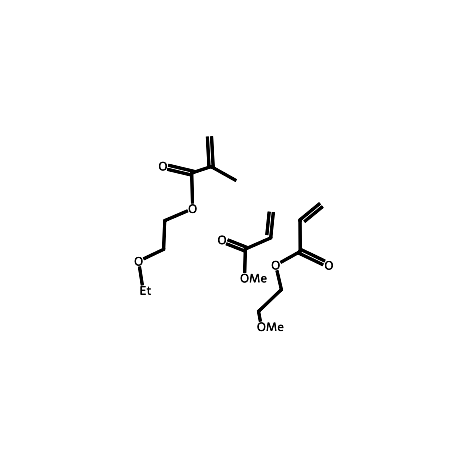 C=C(C)C(=O)OCCOCC.C=CC(=O)OC.C=CC(=O)OCCOC